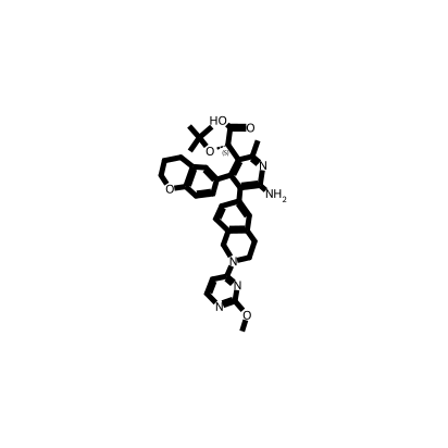 COc1nccc(N2CCc3cc(-c4c(N)nc(C)c([C@H](OC(C)(C)C)C(=O)O)c4-c4ccc5c(c4)CCCO5)ccc3C2)n1